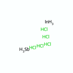 Cl.Cl.Cl.Cl.Cl.[InH3].[SbH3]